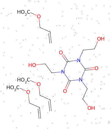 C=CCOC(=O)O.C=CCOC(=O)O.C=CCOC(=O)O.O=c1n(CCO)c(=O)n(CCO)c(=O)n1CCO